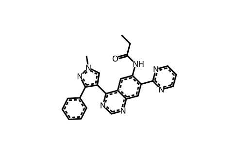 CCC(=O)Nc1cc2c(-c3cn(C)nc3-c3ccccc3)ncnc2cc1-c1ncccn1